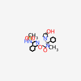 CN(C(=O)COc1ncc(NS(C)(=O)=O)c2ccccc12)[C@H](CN1CC[C@H](O)C1)c1ccccc1